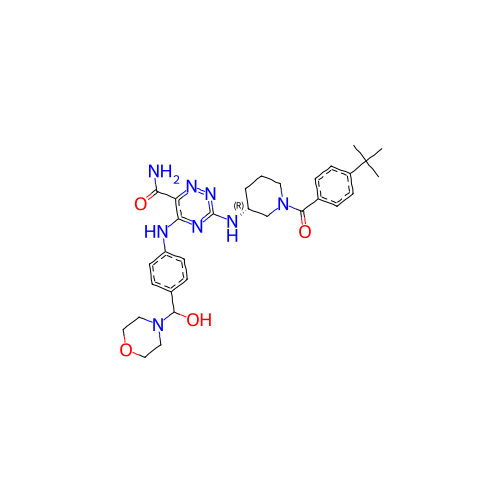 CC(C)(C)c1ccc(C(=O)N2CCC[C@@H](Nc3nnc(C(N)=O)c(Nc4ccc(C(O)N5CCOCC5)cc4)n3)C2)cc1